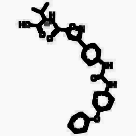 CC(C)[C@H](NC(=O)c1cc(-c2ccc(NC(=O)Nc3ccc(Oc4ccccc4)cc3)cc2)no1)C(=O)O